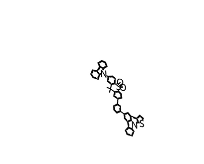 CC1(C)c2cc(-c3cccc(-c4cc5c6ccccc6n6c7sccc7c(c4)c56)c3)ccc2S(=O)(=O)c2ccc(-n3c4ccccc4c4ccccc43)cc21